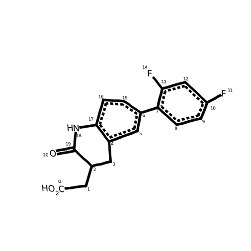 O=C(O)CC1Cc2cc(-c3ccc(F)cc3F)ccc2NC1=O